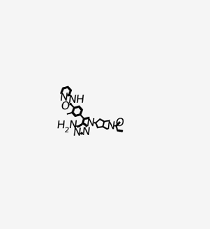 C=CC(=O)N1CC2CC(n3cc(-c4ccc(C(=O)Nc5ccccn5)c(C)c4)c4c(N)ncnc43)CC2C1